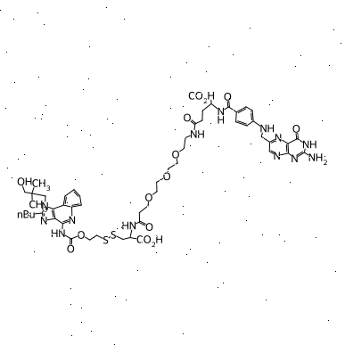 CCCCc1nc2c(NC(=O)OCCSSCC(NC(=O)CCOCCOCCOCCNC(=O)CCC(NC(=O)c3ccc(NCc4cnc5nc(N)[nH]c(=O)c5n4)cc3)C(=O)O)C(=O)O)nc3ccccc3c2n1CC(C)(C)CO